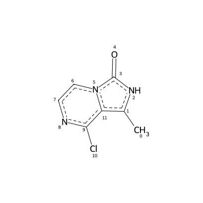 Cc1[nH]c(=O)n2ccnc(Cl)c12